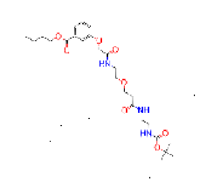 CCCCOC(=O)c1cccc(OCC(=O)NCCOCCC(=O)NCCNC(=O)OC(C)(C)C)c1